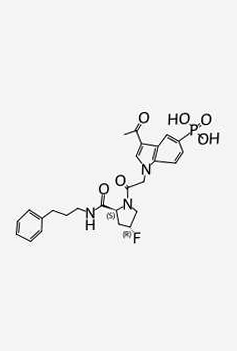 CC(=O)c1cn(CC(=O)N2C[C@H](F)C[C@H]2C(=O)NCCCc2ccccc2)c2ccc(P(=O)(O)O)cc12